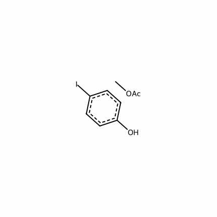 COC(C)=O.Oc1ccc(I)cc1